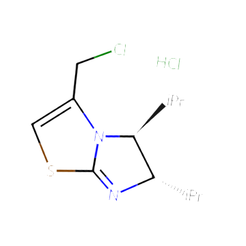 CC(C)[C@@H]1N=C2SC=C(CCl)N2[C@H]1C(C)C.Cl